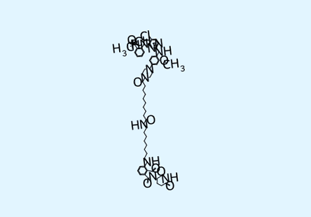 COc1cc(N2CCN(C(=O)CCCCCCCCC(=O)NCCCCCCCCNc3cccc4c3C(=O)N(C3CCC(=O)NC3=O)C4=O)CC2)ccc1Nc1ncc(Cl)c(Nc2ccccc2P(C)(C)=O)n1